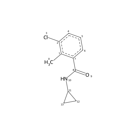 Cc1c(Cl)cccc1C(=O)NC1CC1